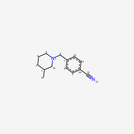 CC1CCCN(Cc2ccc(C#N)cc2)C1